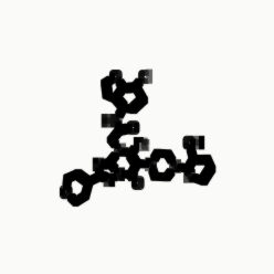 CCc1c(N2CCN(c3ncccc3O)CC2)c(=O)n2nc(C3=CCOCC3)nc2n1CC(=O)Nc1ccc(Cl)c2occc12